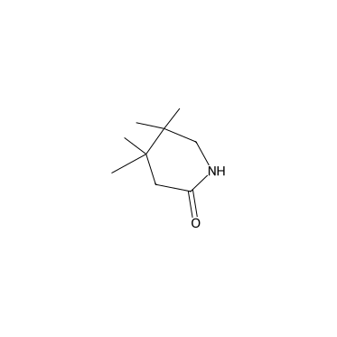 CC1(C)CNC(=O)CC1(C)C